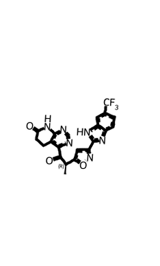 C[C@@H](C(=O)c1ncnc2c1CCC(=O)N2)c1cc(-c2nc3ccc(C(F)(F)F)cc3[nH]2)no1